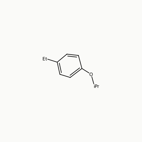 [CH2]Cc1ccc(OC(C)C)cc1